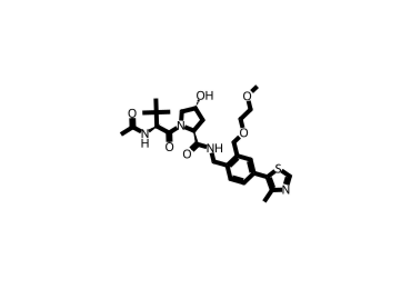 COCCOCc1cc(-c2scnc2C)ccc1CNC(=O)[C@@H]1C[C@@H](O)CN1C(=O)[C@@H](NC(C)=O)C(C)(C)C